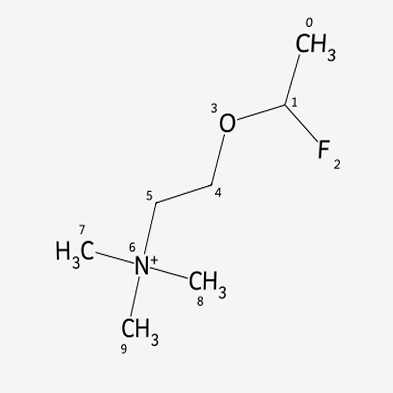 CC(F)OCC[N+](C)(C)C